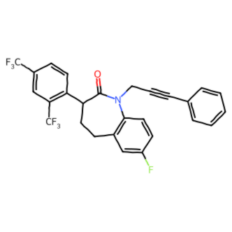 O=C1C(c2ccc(C(F)(F)F)cc2C(F)(F)F)CCc2cc(F)ccc2N1CC#Cc1ccccc1